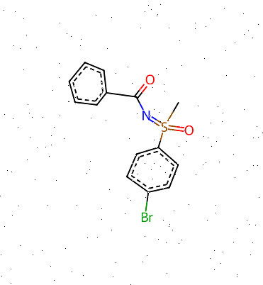 CS(=O)(=NC(=O)c1ccccc1)c1ccc(Br)cc1